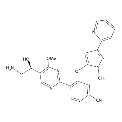 COc1nc(-c2ccc(C#N)cc2Oc2cc(-c3ccccn3)nn2C)ncc1[C@H](O)CN